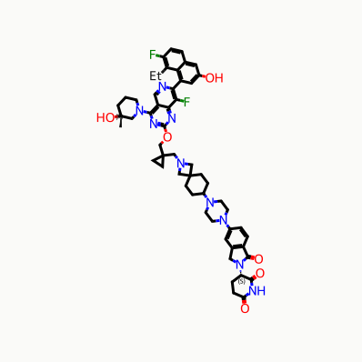 CCc1c(F)ccc2cc(O)cc(-c3ncc4c(N5CCC[C@@](C)(O)C5)nc(OCC5(CN6CC7(CCC(N8CCN(c9ccc%10c(c9)CN([C@H]9CCC(=O)NC9=O)C%10=O)CC8)CC7)C6)CC5)nc4c3F)c12